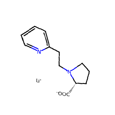 O=C([O-])[C@H]1CCCN1CCc1ccccn1.[Li+]